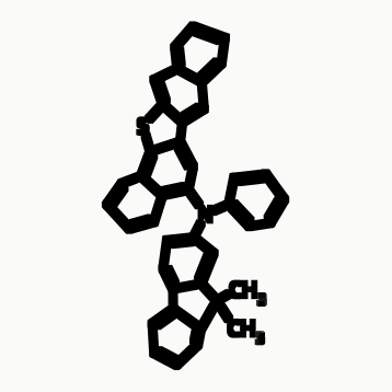 CC1(C)c2ccccc2-c2ccc(N(c3ccccc3)c3cc4c5cc6ccccc6cc5sc4c4ccccc34)cc21